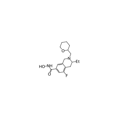 CCC1Cc2c(F)cc(C(=O)NO)cc2CN1CC1CCCCO1